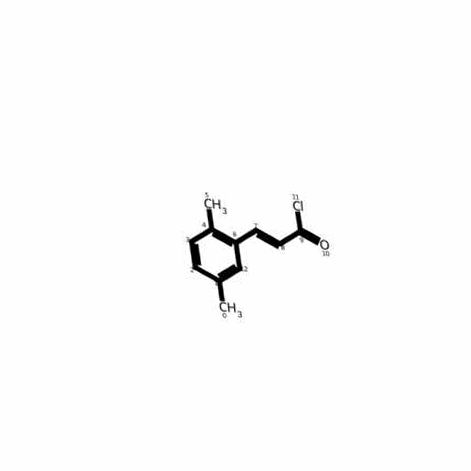 Cc1ccc(C)c(C=CC(=O)Cl)c1